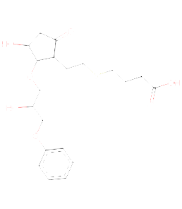 O=C(O)CCCSCCC1C(=O)CC(O)C1OCC(O)COc1ccccc1